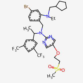 CCN(CC1CCCC1)c1cc(Br)ccc1CN(c1ncc(OCCS(C)(=O)=O)cn1)C(C)c1cc(C(F)(F)F)cc(C(F)(F)F)c1